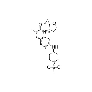 Cc1cc2cnc(NC3CCN(S(C)(=O)=O)CC3)nc2n([C@@H]2CCOC23CC3)c1=O